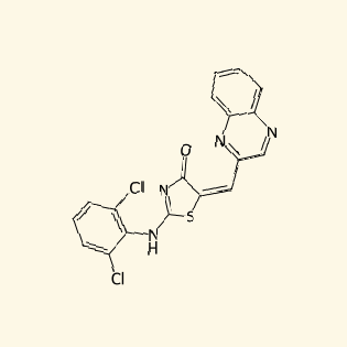 O=C1N=C(Nc2c(Cl)cccc2Cl)SC1=Cc1cnc2ccccc2n1